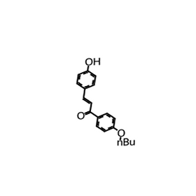 CCCCOc1ccc(C(=O)C=Cc2ccc(O)cc2)cc1